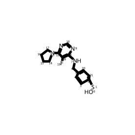 OSc1ccc(CNc2ncnc(N3CCCC3)c2F)cc1